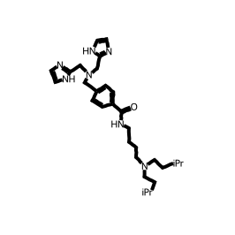 CC(C)CCN(CCCCNC(=O)c1ccc(CN(Cc2ncc[nH]2)Cc2ncc[nH]2)cc1)CCC(C)C